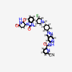 Cn1c(=O)n(C2CCC(=O)NC2=O)c2cccc([C@H]3CCN(C[C@H]4CC[C@H](n5cc6cc(NC(=O)c7cccc(C#N)n7)ncc6n5)CC4)C[C@H]3F)c21